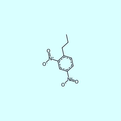 CCCc1ccc([N+](=O)[O-])cc1[N+](=O)[O-]